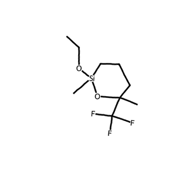 CCO[Si]1(C)CCCC(C)(C(F)(F)F)O1